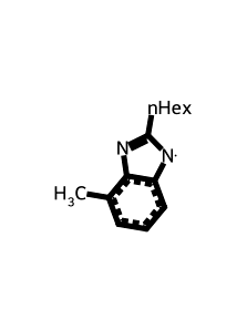 CCCCCCC1=Nc2c(C)cccc2[N]1